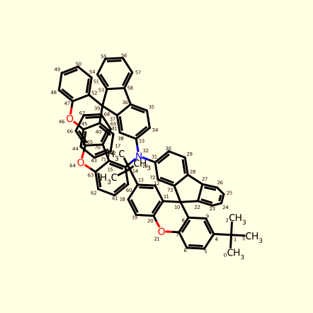 CC(C)(C)c1ccc2c(c1)C1(c3cc(C(C)(C)C)ccc3O2)c2ccccc2-c2ccc(N(c3ccc4c(c3)C3(c5ccccc5Oc5ccccc53)c3ccccc3-4)c3cccc4oc5ccccc5c34)cc21